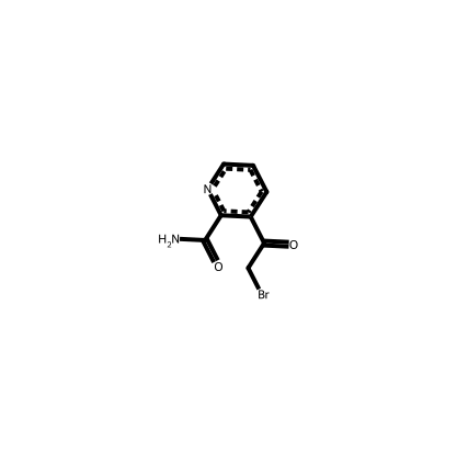 NC(=O)c1ncccc1C(=O)CBr